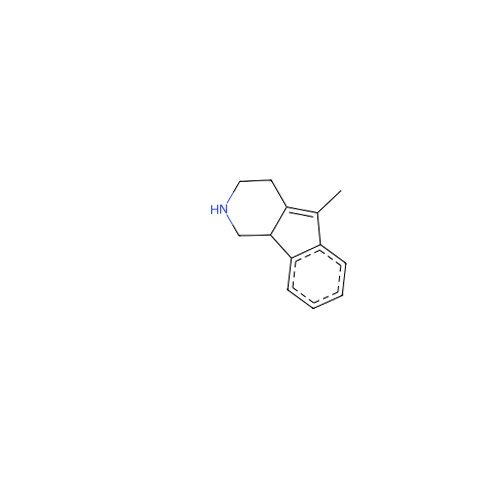 CC1=C2CCNCC2c2ccccc21